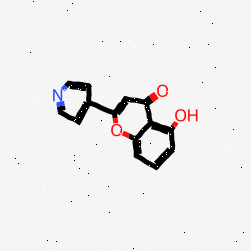 O=c1cc(-c2ccncc2)oc2cccc(O)c12